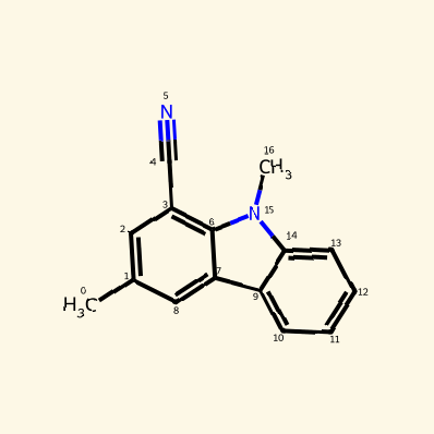 Cc1cc(C#N)c2c(c1)c1ccccc1n2C